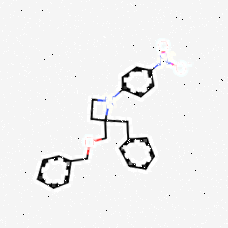 O=[N+]([O-])c1ccc(N2CCC2(COCc2ccccc2)Cc2ccccc2)cc1